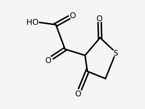 O=C(O)C(=O)C1C(=O)CSC1=O